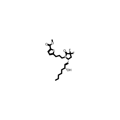 CCCCC[C@@H](O)C=C[C@H]1CC(F)(F)C(=O)N1CCCc1ccc(C(=O)OC)s1